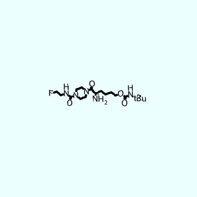 CC(C)(C)NC(=O)OCCCC[C@@H](N)C(=O)N1CCN(C(=O)NCCF)CC1